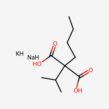 CCCCC(C(=O)O)(C(=O)O)C(C)C.[KH].[NaH]